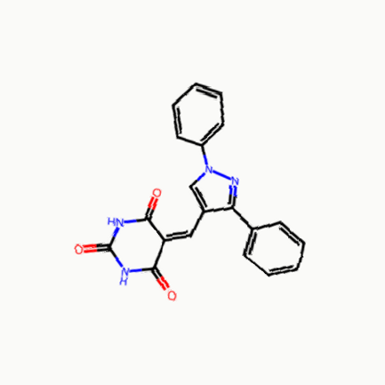 O=C1NC(=O)C(=Cc2cn(-c3ccccc3)nc2-c2ccccc2)C(=O)N1